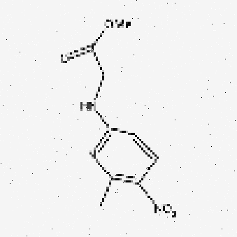 COC(=O)CNc1ccc([N+](=O)[O-])c(C)n1